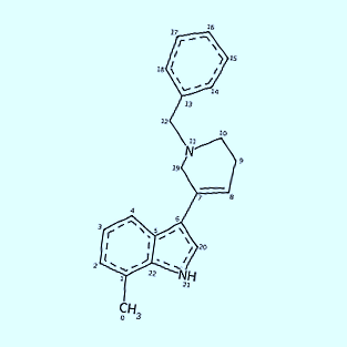 Cc1cccc2c(C3=CCCN(Cc4ccccc4)C3)c[nH]c12